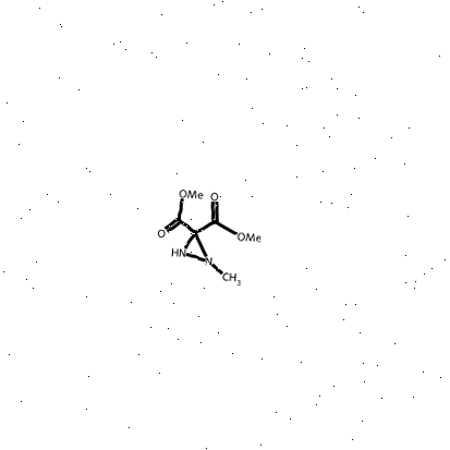 COC(=O)C1(C(=O)OC)NN1C